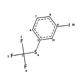 FC(F)(F)Sc1cccc(I)c1